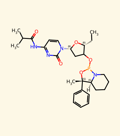 CC[C@H]1O[C@@H](n2ccc(NC(=O)C(C)C)nc2=O)CC1OP1O[C@@](C)(c2ccccc2)[C@@H]2CCCCN21